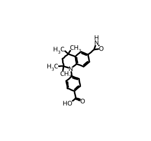 CC1(C)CC(C)(C)N(c2ccc(C(=O)O)cc2)c2ccc(C3NO3)cc21